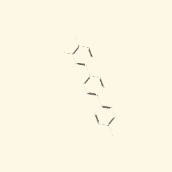 CCc1ccc(-c2ccc(-c3ccc(CC)c(Cl)c3F)cc2)cc1